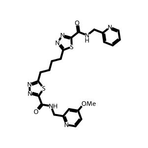 COc1ccnc(CNC(=O)c2nnc(CCCCc3nnc(C(=O)NCc4ccccn4)s3)s2)c1